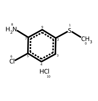 CSc1ccc(Cl)c(N)c1.Cl